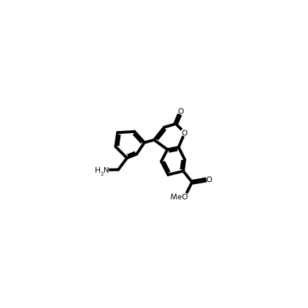 COC(=O)c1ccc2c(-c3cccc(CN)c3)cc(=O)oc2c1